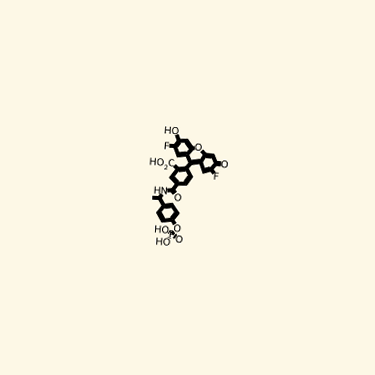 CC(NC(=O)c1ccc(-c2c3cc(F)c(=O)cc-3oc3cc(O)c(F)cc23)c(C(=O)O)c1)c1ccc(OP(=O)(O)O)cc1